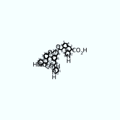 O=C(O)C(Cc1cccc(CC(=O)N(CCOc2cccc(CC(C(=O)O)C3CCCNC3)c2)Cc2cccc(CC(C(=O)O)C3CCCNC3)c2)c1)C1CCCNC1